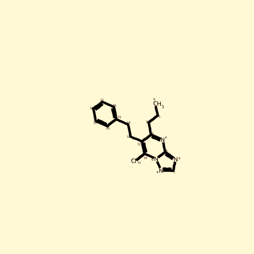 CCCc1nc2ncnn2c(Cl)c1CCc1ccccc1